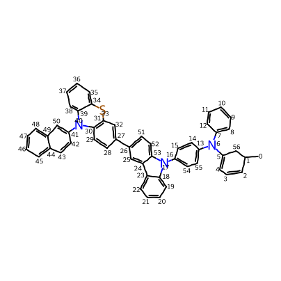 CC1C=CC=C(N(c2ccccc2)c2ccc(-n3c4ccccc4c4cc(-c5ccc6c(c5)Sc5ccccc5N6c5ccc6ccccc6c5)ccc43)cc2)C1